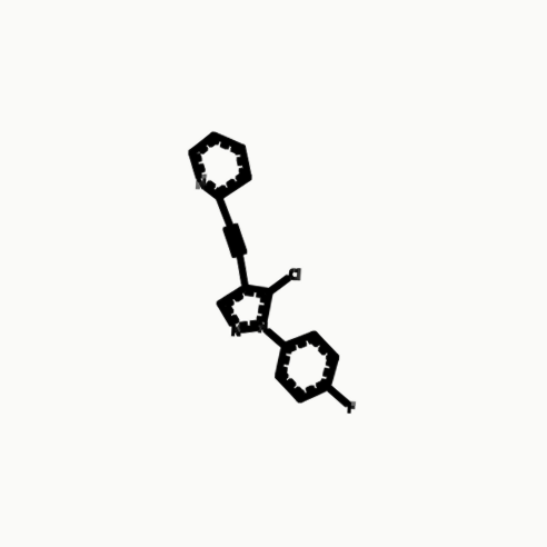 Fc1ccc(-n2ncc(C#Cc3ccccn3)c2Cl)cc1